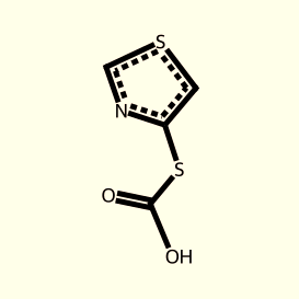 O=C(O)Sc1cscn1